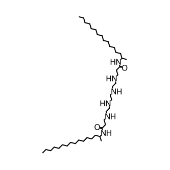 CCCCCCCCCCCCCCC(C)NC(=O)CCNCCNCCNCCNCCC(=O)NC(C)CCCCCCCCCCCCCC